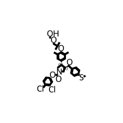 CSc1ccc(C(=O)[C@H]2CN(C(=O)Oc3ccc(Cl)c(Cl)c3)C[C@@H]2c2cc(C)c(OC(C)(C)COCO)c(C)c2)cc1